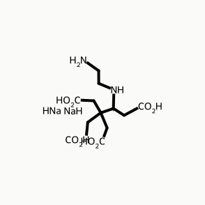 NCCN[C](CC(=O)O)C(CC(=O)O)(CC(=O)O)CC(=O)O.[NaH].[NaH]